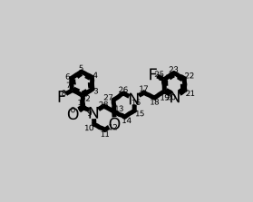 O=C(c1ccccc1F)N1CCOC2(CCN(CCc3ncccc3F)CC2)C1